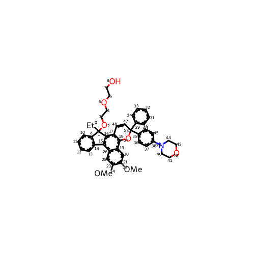 CCC1(OCCOCCO)c2ccccc2-c2c1c1c(c3cc(OC)c(OC)cc23)OC(c2ccccc2)(c2ccc(N3CCOCC3)cc2)C=C1